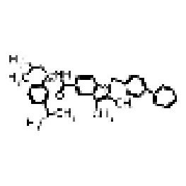 Cc1c(C)n(Cc2ccc(-c3ccccc3)cc2)c2ccc(C(=O)N[C@H](CC(C)C)c3cccc(C(C)C)c3)cc12